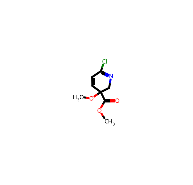 COC(=O)C1(OC)C=CC(Cl)=NC1